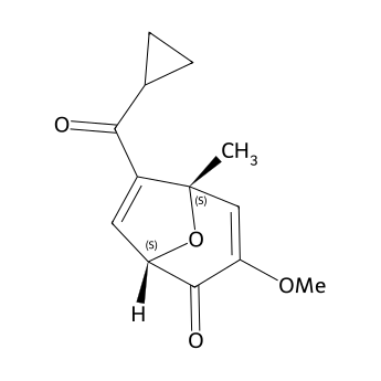 COC1=C[C@]2(C)O[C@@H](C=C2C(=O)C2CC2)C1=O